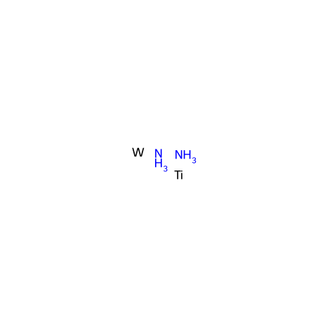 N.N.[Ti].[W]